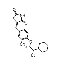 CCC(COc1ccc(C=C2SC(=O)NC2=O)cc1[N+](=O)[O-])C1CCCCC1